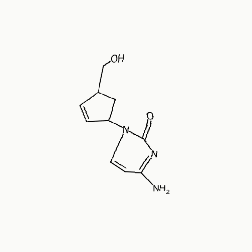 Nc1ccn(C2C=CC(CO)C2)c(=O)n1